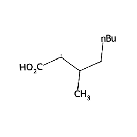 CCCCCC(C)[CH]C(=O)O